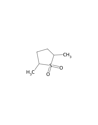 CC1CCC(C)S1(=O)=O